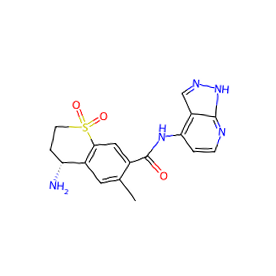 Cc1cc2c(cc1C(=O)Nc1ccnc3[nH]ncc13)S(=O)(=O)CC[C@H]2N